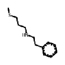 CSCCCNCCc1ccccc1